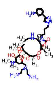 CC[C@H]1OC(=O)[C@H](C)C(=O)[C@H](C)[C@@H](O[C@@H]2OC(CN(CCN)CCN)CC(N(C)C)C2O)[C@](C)(OC)C[C@@H](C)CN[C@H](C)[C@H]2N(CCCCn3cc(-c4cccc(N)c4)nn3)C(=O)O[C@]12C